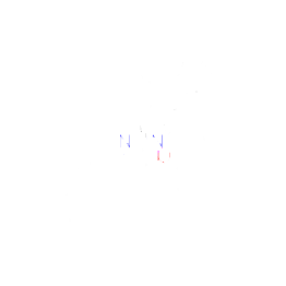 c1ccc(-c2cc(-c3ccc4ccccc4c3)nc(-c3cccc4c3C3(c5ccccc5-4)c4ccccc4-c4oc5ccccc5c43)n2)cc1